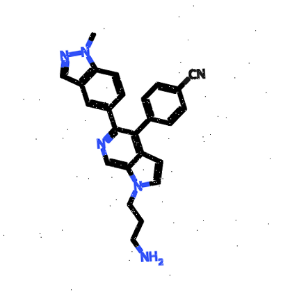 Cn1ncc2cc(-c3ncc4c(ccn4CCCN)c3-c3ccc(C#N)cc3)ccc21